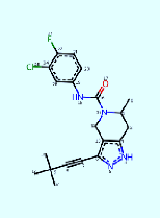 CC1Cc2[nH]nc(C#CC(C)(C)C)c2CN1C(=O)Nc1ccc(F)c(Cl)c1